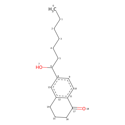 CCCCCCC(O)c1ccc2c(c1)CCCC2=O